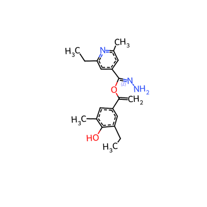 C=C(O/C(=N\N)c1cc(C)nc(CC)c1)c1cc(C)c(O)c(CC)c1